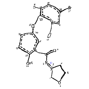 O=C(/N=[Si]1\CCOC1)c1cc(Oc2c(Cl)cc(Br)cc2Cl)ccc1O